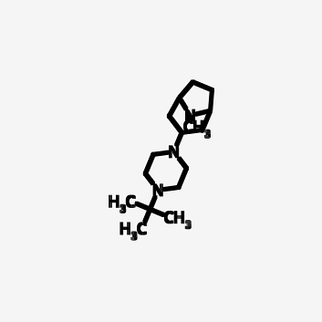 CN1C2CCC1CC(N1CCN(C(C)(C)C)CC1)C2